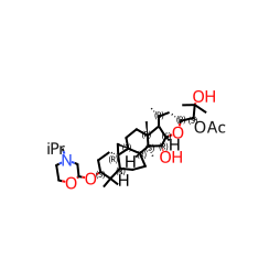 CC(=O)O[C@@H]([C@H]1C[C@@H](C)C2[C@H](O1)[C@H](O)[C@@]1(C)[C@@H]3CC[C@H]4C(C)(C)[C@@H](OC5CN(C(C)C)CCO5)CC[C@@]45C[C@@]35CC[C@]21C)C(C)(C)O